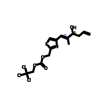 C=CC[C@H](O)/C(C)=C/c1csc(COC(=O)OCC(Cl)(Cl)Cl)n1